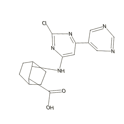 O=C(O)C1C2CCC(CC2)C1Nc1cc(-c2cncnc2)nc(Cl)n1